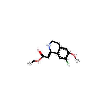 CCOC(=O)/C=C1\NCCc2cc(OC)c(Cl)cc21